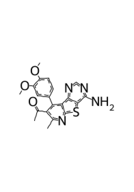 COc1ccc(-c2c(C(C)=O)c(C)nc3sc4c(N)ncnc4c23)cc1OC